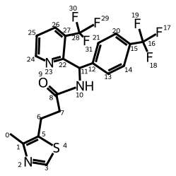 Cc1ncsc1CCC(=O)NC(c1ccc(C(F)(F)F)cc1)c1ncccc1C(F)(F)F